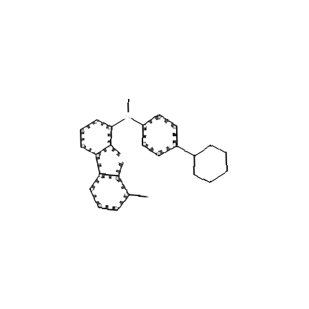 CCc1cccc2c1oc1c(N(C)c3ccc(C4CCCCC4)cc3)cccc12